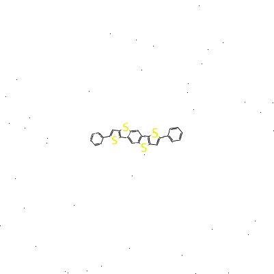 c1ccc(-c2cc3sc4cc5c(cc4c3s2)sc2cc(-c3ccccc3)sc25)cc1